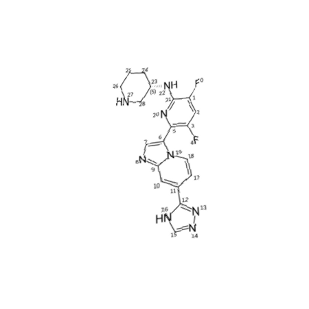 Fc1cc(F)c(-c2cnc3cc(-c4nnc[nH]4)ccn23)nc1N[C@H]1CCCNC1